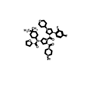 CC(C)N1CCN(C(=O)[C@@H]2C[C@H](N(C(=O)[C@@H]3CCCO3)C3CCC(C)(C)CC3)CN2C(=O)[C@@H]2CN(C3CCOCC3)C[C@H]2c2ccc(F)cc2F)CC1